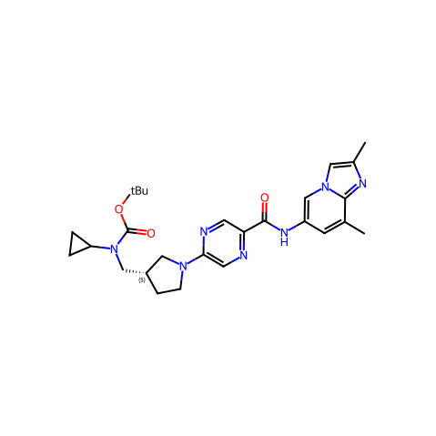 Cc1cn2cc(NC(=O)c3cnc(N4CC[C@H](CN(C(=O)OC(C)(C)C)C5CC5)C4)cn3)cc(C)c2n1